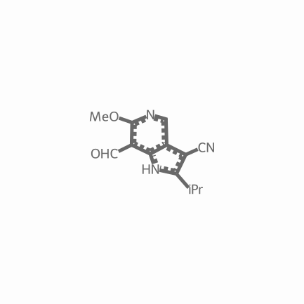 COc1ncc2c(C#N)c(C(C)C)[nH]c2c1C=O